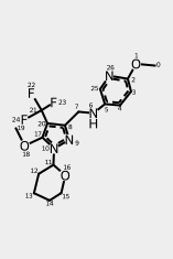 COc1ccc(NCc2nn(C3CCCCO3)c(OC)c2C(F)(F)F)cn1